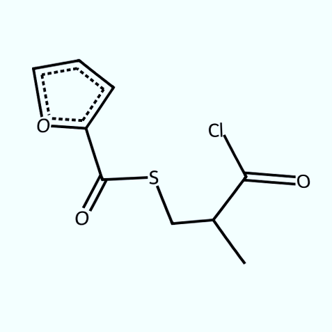 CC(CSC(=O)c1ccco1)C(=O)Cl